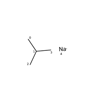 CC(C)C.[Na]